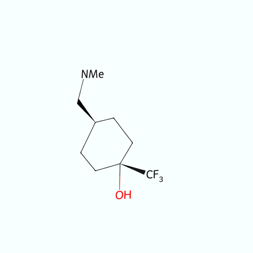 CNC[C@H]1CC[C@@](O)(C(F)(F)F)CC1